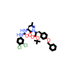 CC(C)C[C@H](NC(=O)Nc1ccc(Cl)c(Cl)c1)C(=O)N[C@@H](Cc1ccc(OCc2ccccc2)cc1)C(=O)OC(C)(C)C